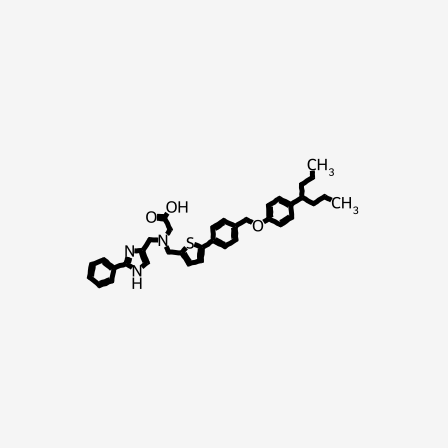 CCCC(CCC)c1ccc(OCc2ccc(-c3ccc(CN(CC(=O)O)Cc4c[nH]c(-c5ccccc5)n4)s3)cc2)cc1